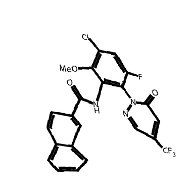 COc1c(Cl)cc(F)c(-n2ncc(C(F)(F)F)cc2=O)c1NC(=O)c1ccc2ccccc2c1